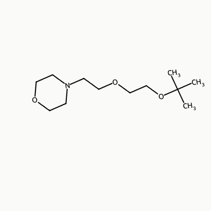 CC(C)(C)OCCOCCN1CCOCC1